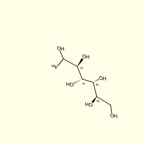 OC[C@@H](O)[C@@H](O)[C@H](O)[C@H](O)C(O)[18F]